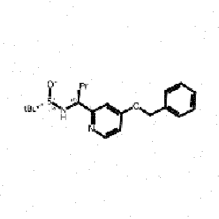 CC(C)[C@H](N[S@@+]([O-])C(C)(C)C)c1cc(OCc2ccccc2)ccn1